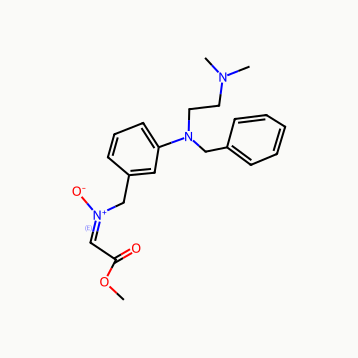 COC(=O)/C=[N+](/[O-])Cc1cccc(N(CCN(C)C)Cc2ccccc2)c1